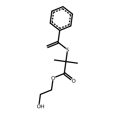 C=C(SC(C)(C)C(=O)OCCO)c1ccccc1